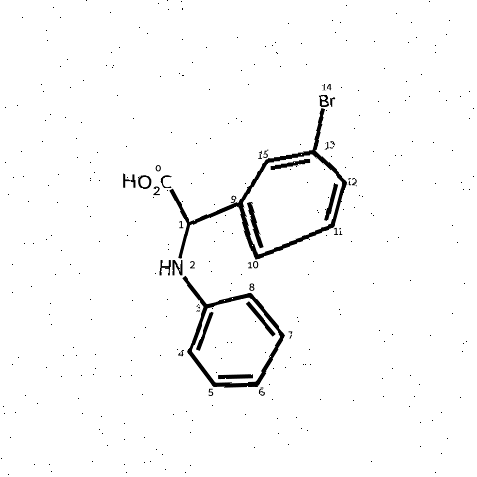 O=C(O)C(Nc1ccccc1)c1cccc(Br)c1